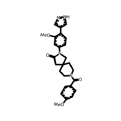 COc1ccc(C(=O)N2CCC3(CC2)CC(=O)N(c2ccc(-c4cn[nH]c4)c(OC)c2)C3)cc1